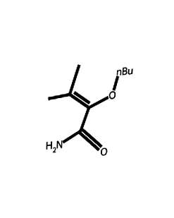 CCCCOC(C(N)=O)=C(C)C